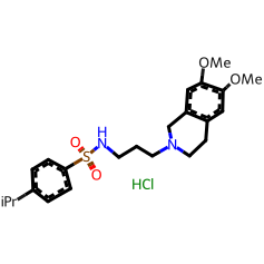 COc1cc2c(cc1OC)CN(CCCNS(=O)(=O)c1ccc(C(C)C)cc1)CC2.Cl